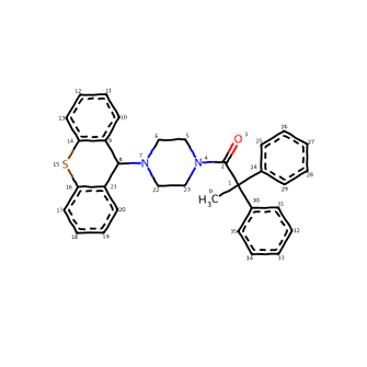 CC(C(=O)N1CCN(C2c3ccccc3Sc3ccccc32)CC1)(c1ccccc1)c1ccccc1